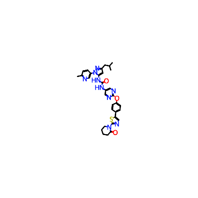 Cc1ccc(-n2nc(CC(C)C)cc2NC(=O)Nc2cnc(Oc3ccc(-c4cnc(N5CCCCC5=O)s4)cc3)nc2)cn1